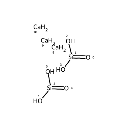 O=[Si](O)O.O=[Si](O)O.[CaH2].[CaH2].[CaH2]